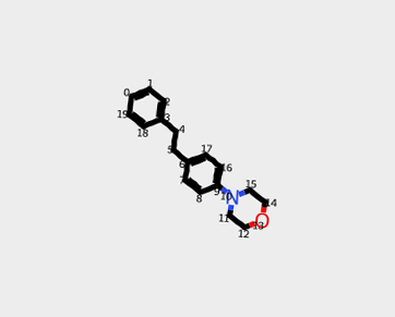 c1ccc(CCc2ccc(N3CCOCC3)cc2)cc1